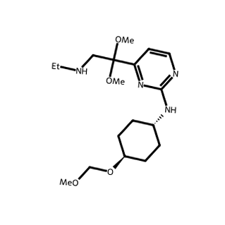 CCNCC(OC)(OC)c1ccnc(N[C@H]2CC[C@H](OCOC)CC2)n1